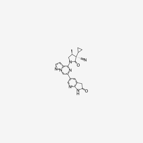 C[C@@H]1CN(c2nc(-c3cnc4c(c3)CC(=O)N4)cn3nccc23)C(=O)[C@]1(C#N)C1CC1